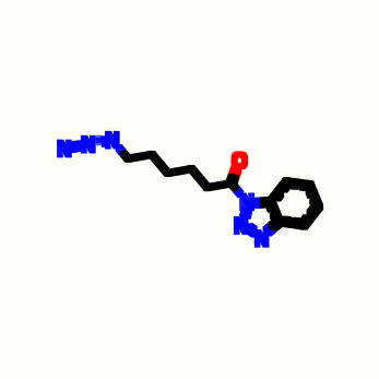 [N-]=[N+]=NCCCCCC(=O)n1nnc2ccccc21